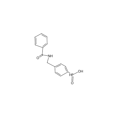 O=C(NCc1ccc([PH](=O)O)cc1)c1ccccc1